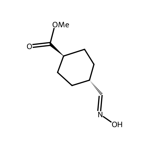 COC(=O)[C@H]1CC[C@H](C=NO)CC1